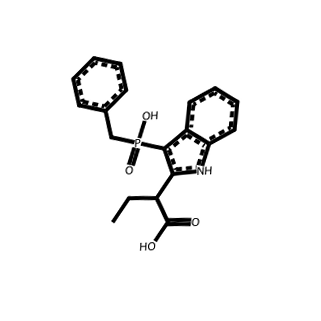 CCC(C(=O)O)c1[nH]c2ccccc2c1P(=O)(O)Cc1ccccc1